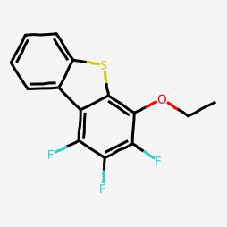 CCOc1c(F)c(F)c(F)c2c1sc1ccccc12